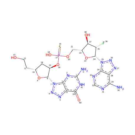 Nc1nc2c(nnn2[C@@H]2O[C@H](CCO)C[C@H]2OP(O)(=S)OC[C@H]2O[C@@H](n3nnc4c(N)ncnc43)[C@@H](F)[C@@H]2O)c(=O)[nH]1